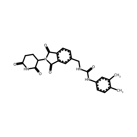 Cc1ccc(NC(=O)NCc2ccc3c(c2)C(=O)N(C2CCC(=O)NC2=O)C3=O)cc1C